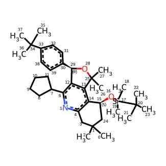 CC1(C)Cc2nc(C3CCCC3)c3c(c2[C@@H](O[Si](C)(C)C(C)(C)C)C1)C(C)(C)O[C@@H]3c1ccc(C(C)(C)C)cc1